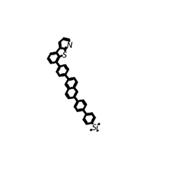 C[Si](C)(C)c1ccc(-c2ccc(-c3ccc4cc(-c5ccc(-c6cccc7c6sc6ncccc67)cc5)ccc4c3)cc2)cc1